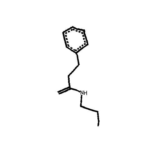 C=C(CCc1ccccc1)NCCC